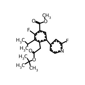 COC(=O)c1cc(-c2ccnc(F)c2)c(CC(=O)OC(C)(C)C)c(C(C)C)c1F